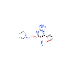 N#Cc1c(OCCN2CCCCC2)nc(N)nc1-c1ccco1